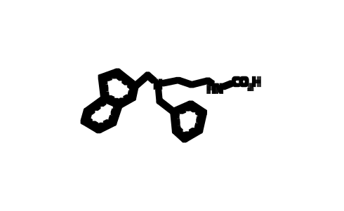 O=C(O)NCCCN(Cc1ccccc1)Cc1ccc2ccccc2c1